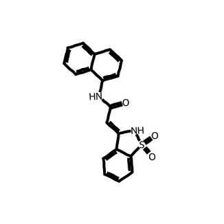 O=C(C=C1NS(=O)(=O)c2ccccc21)Nc1cccc2ccccc12